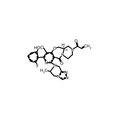 C=CC(=O)N1CCN2C(=O)c3c(N4Cc5nncn5CC4C)nc(-c4c(O)cccc4F)c(Cl)c3OC[C@H]2C1